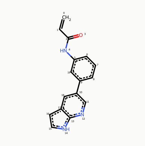 C=CC(=O)Nc1cccc(-c2cnc3[nH]ccc3c2)c1